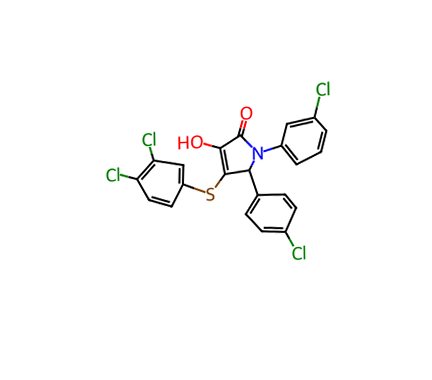 O=C1C(O)=C(Sc2ccc(Cl)c(Cl)c2)C(c2ccc(Cl)cc2)N1c1cccc(Cl)c1